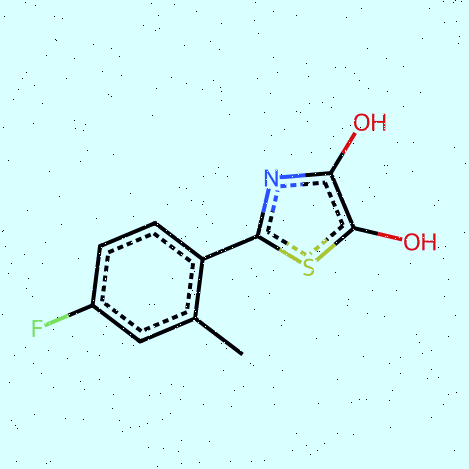 Cc1cc(F)ccc1-c1nc(O)c(O)s1